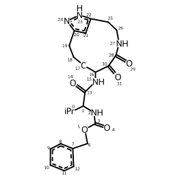 CC(C)C(NC(=O)OCc1ccccc1)C(=O)NC1CCCc2cc([nH]n2)CCNC(=O)C1=O